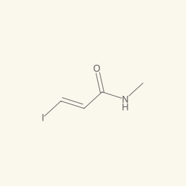 CNC(=O)/C=C/I